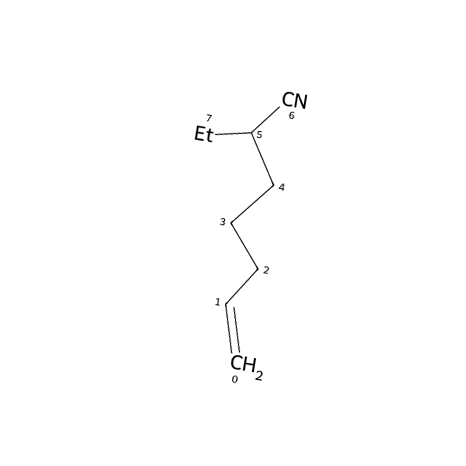 C=CCCCC(C#N)CC